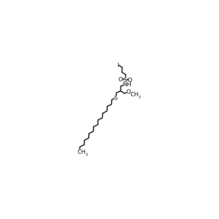 CCCCCCCCCCCCCCCCSCC(CNS(=O)(=O)CCCI)COC